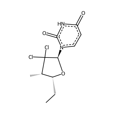 CC[C@H]1O[C@H](n2ccc(=O)[nH]c2=O)C(Cl)(Cl)[C@H]1C